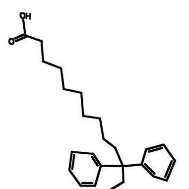 CCC(CCCCCCCCCC(=O)O)(c1ccccc1)c1ccccc1